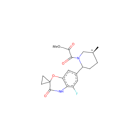 COC(=O)C(=O)N1C[C@@H](C)CCC1c1cc(F)c2c(c1)OC1(CC1)C(=O)N2